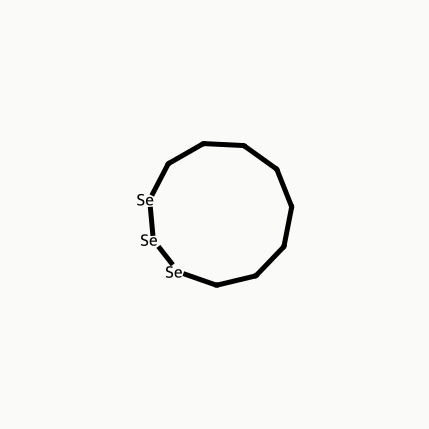 C1CCCC[Se][Se][Se]CCC1